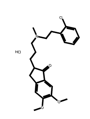 COc1cc2c(cc1OC)C(=O)C(CCCN(C)CCc1ccccc1Cl)C2.Cl